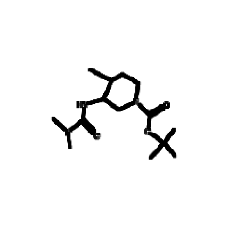 CC1CCN(C(=O)OC(C)(C)C)CC1NC(=O)N(C)C